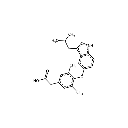 Cc1cc(CC(=O)O)cc(C)c1Oc1ccc2[nH]cc(CC(C)C)c2c1